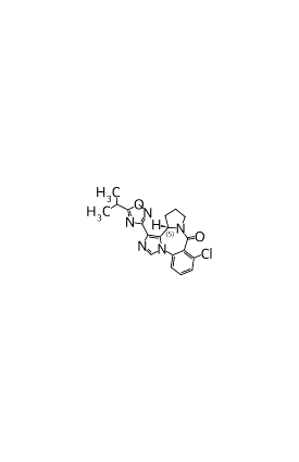 CC(C)c1nc(-c2ncn3c2[C@@H]2CCCN2C(=O)c2c(Cl)cccc2-3)no1